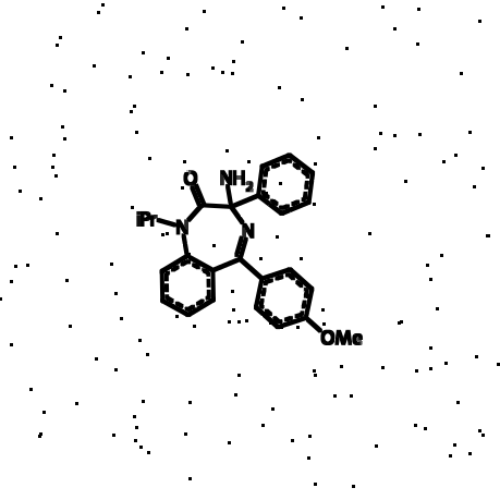 COc1ccc(C2=NC(N)(c3ccccc3)C(=O)N(C(C)C)c3ccccc32)cc1